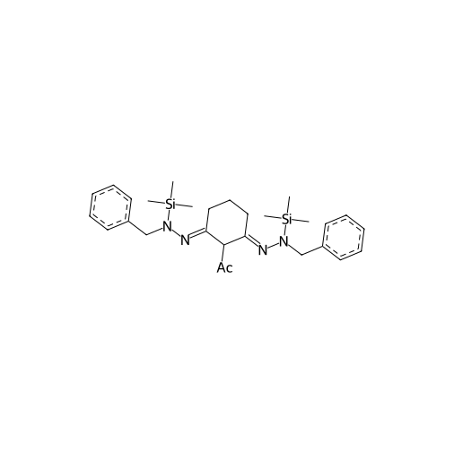 CC(=O)C1C(=NN(Cc2ccccc2)[Si](C)(C)C)CCCC1=NN(Cc1ccccc1)[Si](C)(C)C